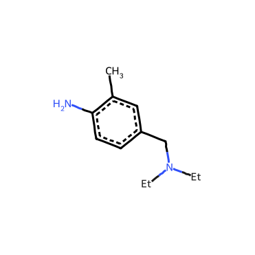 CCN(CC)Cc1ccc(N)c(C)c1